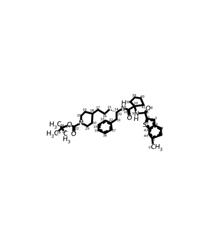 Cc1ccc2cc(C(=O)NC3(C(=O)N[C@@H](CCCC4CCN(C(=O)OC(C)(C)C)CC4)Cc4ccccc4)CCCC3)sc2c1